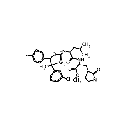 COC(=O)[C@H](C[C@@H]1CCNC1=O)NC(=O)[C@H](CC(C)C)NC(=O)OC(c1ccc(F)cc1)C(C)(C)c1cccc(Cl)c1